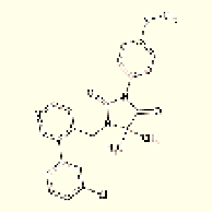 CC1(C)C(=O)N(c2ccc(SC(F)(F)F)cc2)C(=O)N1Cc1ccncc1-c1cccc(Cl)c1